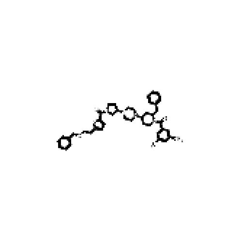 O=C(c1ccc(CCOCc2ccccc2)s1)N1CCC(N2CCN(C3CCN(C(=O)c4cc(C(F)(F)F)cc(C(F)(F)F)c4)C(Cc4ccccc4)C3)CC2)C1